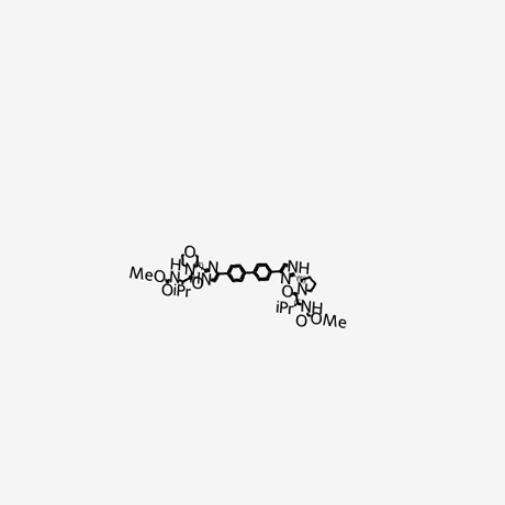 COC(=O)NC(C(=O)N1CCOC[C@H]1c1nc(-c2ccc(-c3ccc(-c4c[nH]c([C@@H]5CCCN5C(=O)[C@@H](NC(=O)OC)C(C)C)n4)cc3)cc2)c[nH]1)C(C)C